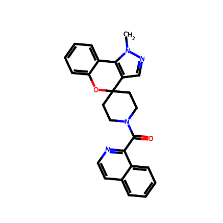 Cn1ncc2c1-c1ccccc1OC21CCN(C(=O)c2nccc3ccccc23)CC1